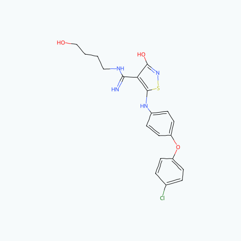 N=C(NCCCCO)c1c(O)nsc1Nc1ccc(Oc2ccc(Cl)cc2)cc1